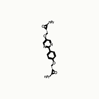 CCC[C@@H]1O[C@H]1COc1ccc(-c2ncc(OC[C@@H]3O[C@H]3CCC)cn2)cc1